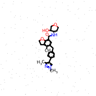 Cc1nn(C)cc1-c1ccc(Cc2cc(C(=O)N[C@H]3CCOC[C@@H]3O)c3c(c2C)CCO3)cc1